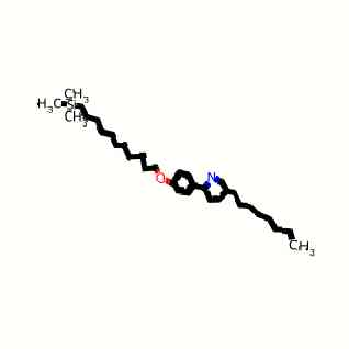 CCCCCCCCc1ccc(-c2ccc(OCCCCCCCCCCC[Si](C)(C)C)cc2)nc1